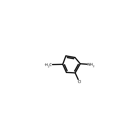 [CH2]c1ccc(N)c(Cl)c1